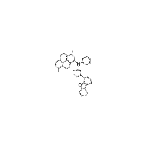 Cc1ccc2ccc3c(C)cc(N(c4ccccc4)c4cccc(-c5cccc6c5oc5ccccc56)c4)c4ccc1c2c34